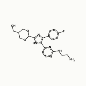 NCCNc1nccc(-c2[nH]c(C3OCC(CO)CO3)nc2-c2ccc(F)cc2)n1